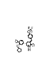 COc1ccc([C@H]2CNC(=O)/C(=C/c3ccc(OC(F)(F)F)cc3)C2)cc1OC1CCCC1